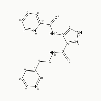 O=C(Nc1c[nH]nc1C(=O)NCCc1cccnc1)c1ccccn1